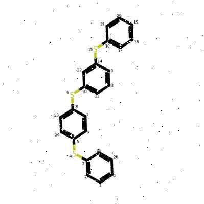 c1ccc(Sc2ccc(Sc3cccc(Sc4ccccc4)c3)cc2)cc1